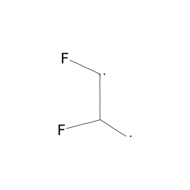 [CH2]C(F)[CH]F